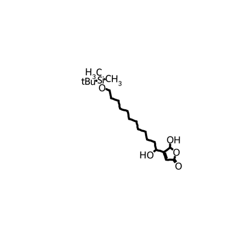 CC(C)(C)[Si](C)(C)OCCCCCCCCCCCC(O)C1=CC(=O)OC1O